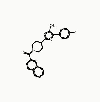 Cc1nc(C2CCN(C(=O)c3ccc4ccccc4c3)CC2)sc1-c1ccc(Cl)cc1